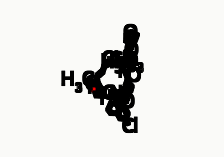 CO[C@H]1/C=C/C[C@H](C)[C@@H](C)S(=O)(NC(=O)COC2CCOCC2)=NC(=O)c2ccc3c(c2)N(C[C@@H]2CCC[C@H]21)C[C@@]1(CCCc2cc(Cl)ccc21)CO3